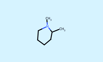 CC1[CH]CCCN1C